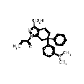 C=CC(=O)n1nc(C(=O)O)c2c1CC(c1ccccc1)(c1cccc(N(C)C)c1)C=C2